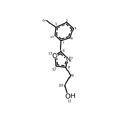 Cc1cccc(-c2nc(CCO)co2)c1